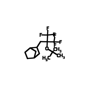 CC(C)(C)OC(CC1CC2CCC1C2)(C(F)(F)F)C(F)(F)F